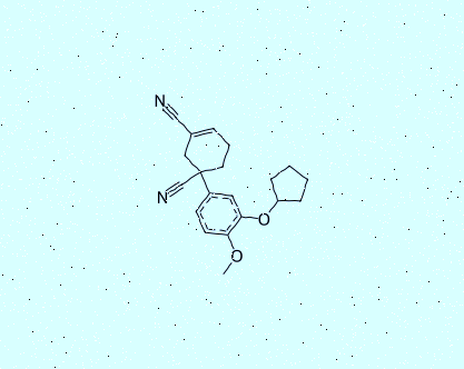 COc1ccc(C2(C#N)CCC=C(C#N)C2)cc1OC1CCCC1